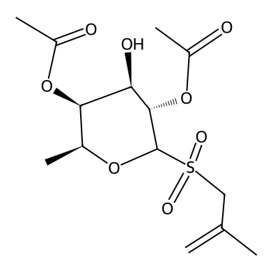 C=C(C)CS(=O)(=O)C1O[C@@H](C)[C@@H](OC(C)=O)[C@@H](O)[C@@H]1OC(C)=O